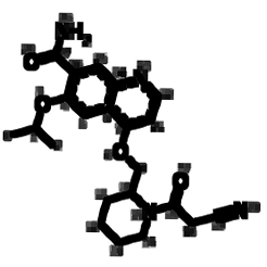 CC(C)Oc1cc2c(OCC3CCCCN3C(=O)CC#N)ccnc2cc1C(N)=O